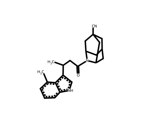 Cc1cccc2[nH]cc(C(C)CC(=O)N3C4CC5CC3CC(C#N)(C5)C4)c12